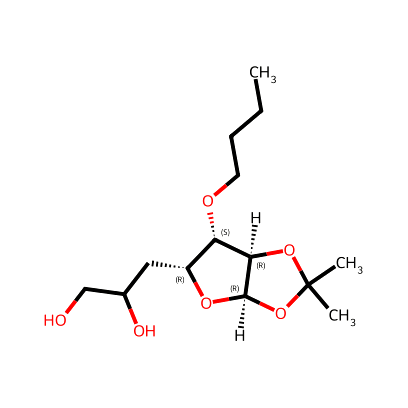 CCCCO[C@@H]1[C@H]2OC(C)(C)O[C@H]2O[C@@H]1CC(O)CO